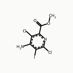 COC(=O)c1nc(Cl)c(I)c(N)c1Cl